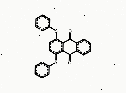 O=C1c2ccccc2C(=O)c2c(Sc3ccccc3)ccc(Sc3ccccc3)c21